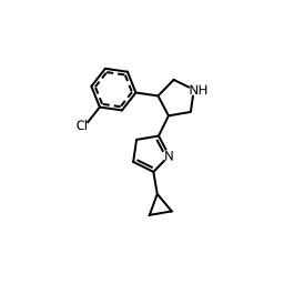 Clc1cccc(C2CNCC2C2=NC(C3CC3)=CC2)c1